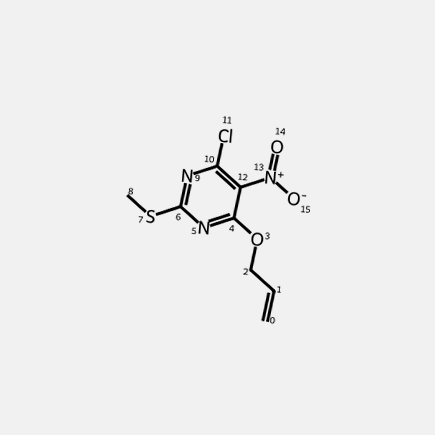 C=CCOc1nc(SC)nc(Cl)c1[N+](=O)[O-]